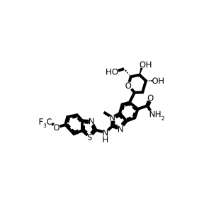 Cn1c(Nc2nc3ccc(OC(F)(F)F)cc3s2)nc2cc(C(N)=O)c(C3C[C@@H](O)[C@H](O)[C@@H](CO)O3)cc21